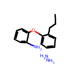 CCCc1ccccc1Oc1ccccc1N.N.N